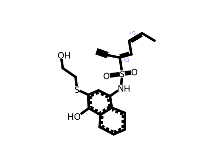 C#C/C(=C\C=C/C)S(=O)(=O)Nc1cc(SCCO)c(O)c2ccccc12